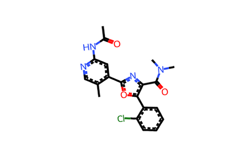 CC(=O)Nc1cc(-c2nc(C(=O)N(C)C)c(-c3ccccc3Cl)o2)c(C)cn1